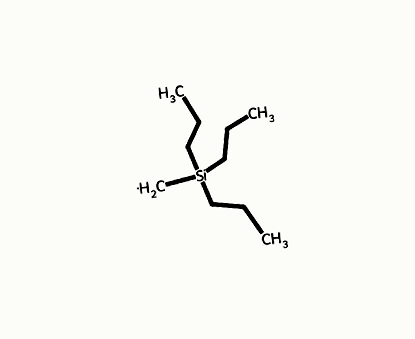 [CH2][Si](CCC)(CCC)CCC